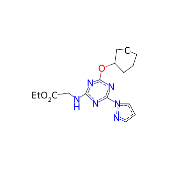 CCOC(=O)CNc1nc(OC2CCCCC2)nc(-n2cccn2)n1